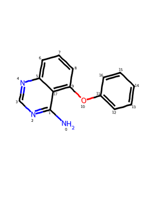 Nc1ncnc2cccc(Oc3ccccc3)c12